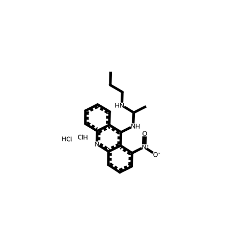 CCCNC(C)Nc1c2ccccc2nc2cccc([N+](=O)[O-])c12.Cl.Cl